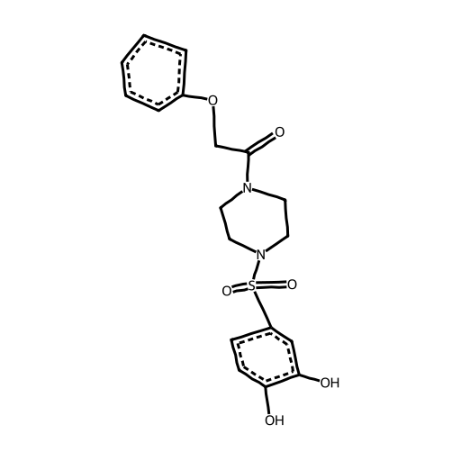 O=C(COc1ccccc1)N1CCN(S(=O)(=O)c2ccc(O)c(O)c2)CC1